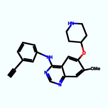 C#Cc1cccc(Nc2ncnc3cc(OC)c(OC4CCNCC4)cc23)c1